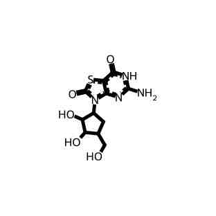 Nc1nc2c(sc(=O)n2C2CC(CO)C(O)C2O)c(=O)[nH]1